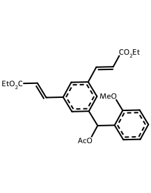 CCOC(=O)C=Cc1cc(C=CC(=O)OCC)cc(C(OC(C)=O)c2ccccc2OC)c1